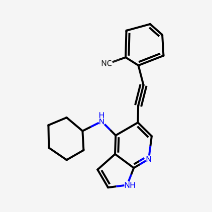 N#Cc1ccccc1C#Cc1cnc2[nH]ccc2c1NC1CCCCC1